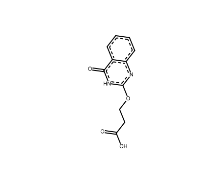 O=C(O)CCOc1nc2ccccc2c(=O)[nH]1